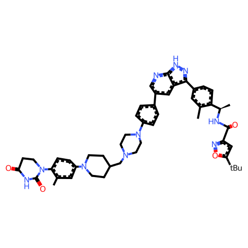 Cc1cc(-c2n[nH]c3ncc(-c4ccc(N5CCN(CC6CCN(c7ccc(N8CCC(=O)NC8=O)c(C)c7)CC6)CC5)cc4)cc23)ccc1[C@@H](C)NC(=O)c1cc(C(C)(C)C)on1